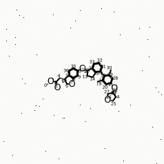 COC(=O)C[C@@H]1COc2cc(O[C@@H]3CCc4c(-c5c(C)cc(O[C@@H]6CCOC6)cc5C)cccc43)ccc21